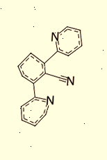 N#Cc1c(-c2ccccn2)cccc1-c1ccccn1